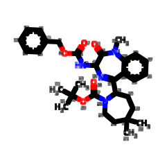 CN1C(=O)C(NC(=O)OCc2ccccc2)N=C(C2CCC(C)(C)CCN2C(=O)OC(C)(C)C)c2ccccc21